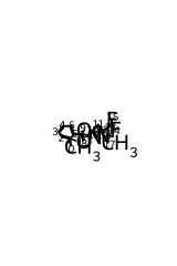 Cc1ccccc1C(=O)Oc1cc(C(F)F)n(C)n1